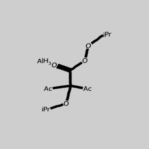 CC(=O)C(OC(C)C)(C(C)=O)C(=O)OOC(C)C.[AlH3]